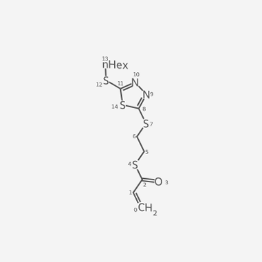 C=CC(=O)SCCSc1nnc(SCCCCCC)s1